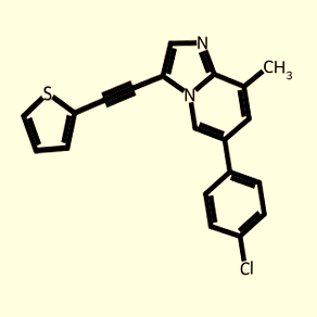 Cc1cc(-c2ccc(Cl)cc2)cn2c(C#Cc3cccs3)cnc12